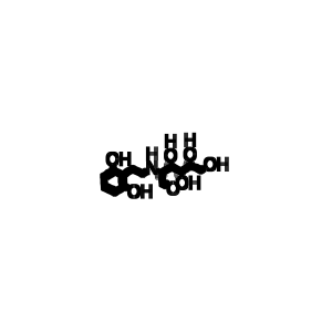 O=C[C@@H](NCCc1c(O)cccc1O)[C@@H](O)[C@H](O)[C@H](O)CO